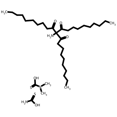 CCCCCCCCCC(=O)C(N)(C(=O)CCCCCCCCC)C(=O)CCCCCCCCC.CN(C)C(O)=S.NC(O)=S